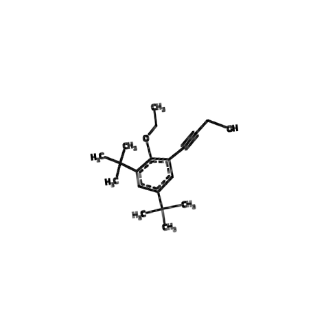 CCOc1c(C#CCO)cc(C(C)(C)C)cc1C(C)(C)C